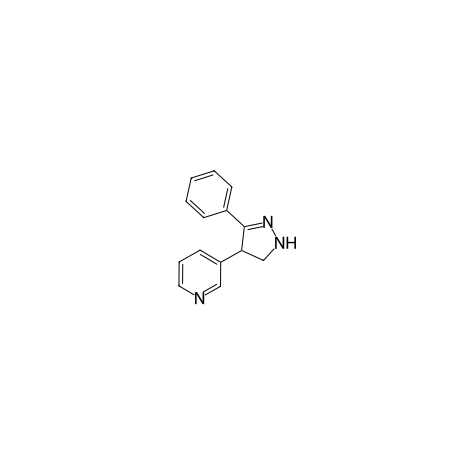 c1ccc(C2=NNCC2c2cccnc2)cc1